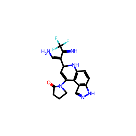 N=C(/C(=C\N)C1C=C(N2CCCC2=O)c2c(ccc3[nH]ncc23)N1)C(F)(F)F